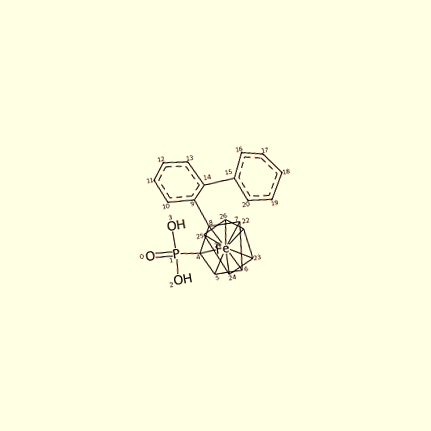 O=P(O)(O)[C]12[CH]3[CH]4[CH]5[C]1(c1ccccc1-c1ccccc1)[Fe]45321678[CH]2[CH]1[CH]6[CH]7[CH]28